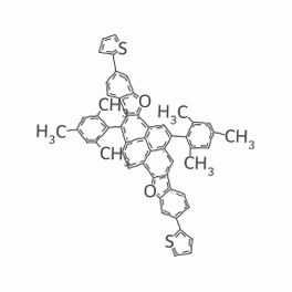 Cc1cc(C)c(-c2cc3c4oc5cc(-c6cccs6)ccc5c4c(-c4c(C)cc(C)cc4C)c4ccc5c6oc7cc(-c8cccs8)ccc7c6cc2c5c43)c(C)c1